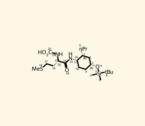 CCC[C@@H]1C[C@H](O[Si](C)(C)C(C)(C)C)CC[C@@H]1NC(=O)[C@H](CCSC)NC(=O)O